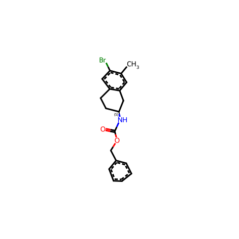 Cc1cc2c(cc1Br)CC[C@H](NC(=O)OCc1ccccc1)C2